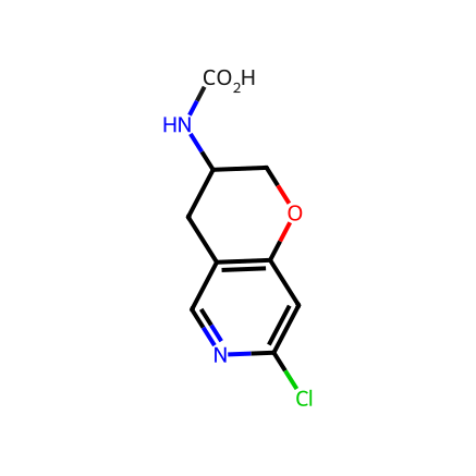 O=C(O)NC1COc2cc(Cl)ncc2C1